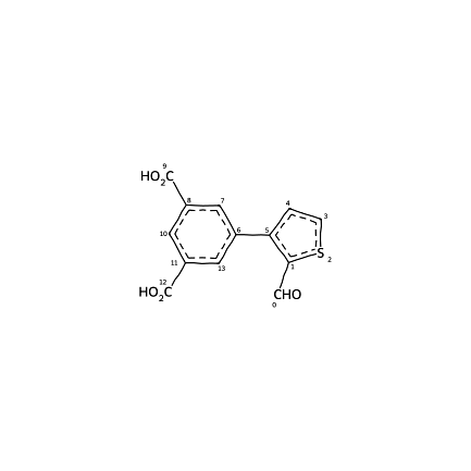 O=Cc1sccc1-c1cc(C(=O)O)cc(C(=O)O)c1